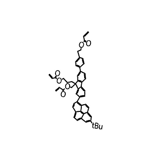 C=CC(=O)OCCCC1(COC(=O)C=C)c2cc(-c3ccc(CCOC(=O)C=C)cc3)ccc2-c2ccc(-c3ccc4ccc5cc(C(C)(C)C)cc6ccc3c4c56)cc21